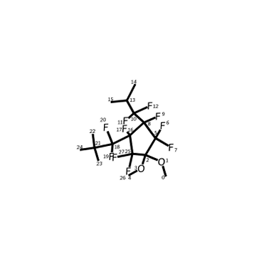 COC1(OC)C(F)(F)C(F)(C(F)(F)C(C)C)C(F)(C(F)(F)C(C)(C)C)C1(F)F